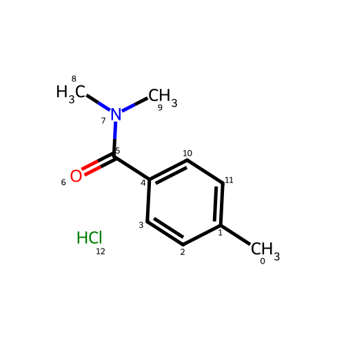 Cc1ccc(C(=O)N(C)C)cc1.Cl